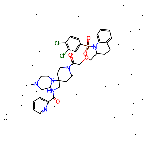 CN1CCN(C2(CNC(=O)c3ccccn3)CCN(C(=O)COCC3CCc4ccccc4N3S(=O)(=O)c3ccc(Cl)c(Cl)c3)CC2)CC1